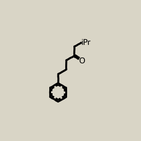 CC(C)CC(=O)CCCc1ccccc1